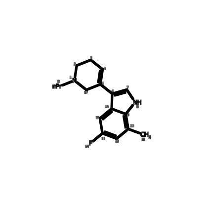 CCCN1CCC=C(c2c[nH]c3c(C)cc(F)cc23)C1